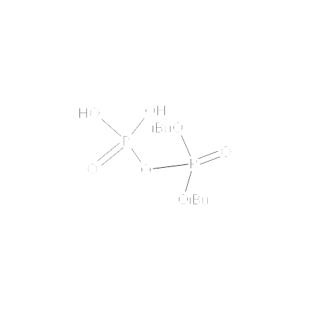 CC(C)COP(=O)(OCC(C)C)OP(=O)(O)O